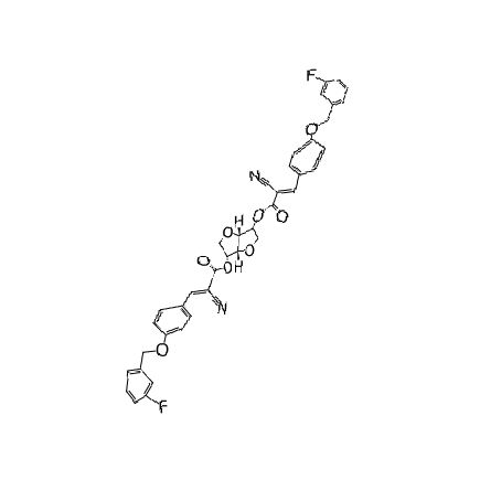 N#C/C(=C\c1ccc(OCc2cccc(F)c2)cc1)C(=O)O[C@H]1CO[C@H]2[C@@H]1OC[C@H]2OC(=O)/C(C#N)=C/c1ccc(OCc2cccc(F)c2)cc1